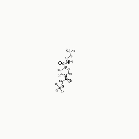 CC(C)CCNC(=O)C1CCN(C(=O)CSC(C)(C)C)CC1